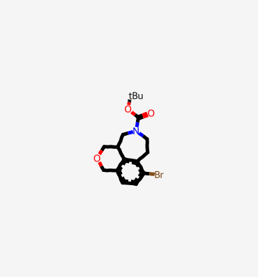 CC(C)(C)OC(=O)N1CCc2c(Br)ccc3c2C(COC3)C1